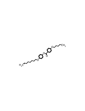 C=CCCCCCCOc1ccc(OC(=O)c2ccc(OCCCCC)cc2)cc1